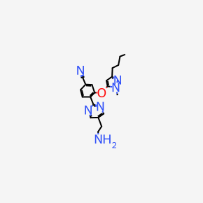 CCCCc1cc(Oc2cc(C#N)ccc2-c2ncc(CCN)cn2)n(C)n1